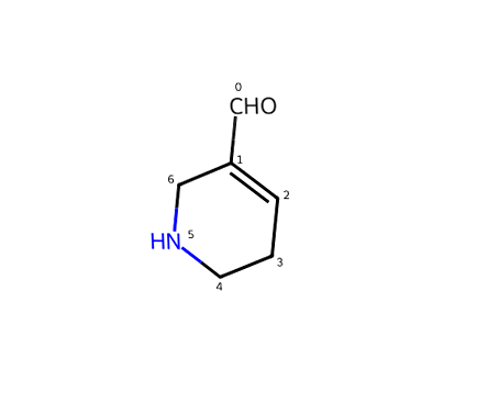 O=CC1=CCCNC1